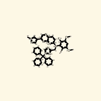 COc1cc(OC)c(F)c(N(Cc2ncn(C(c3ccccc3)(c3ccccc3)c3ccccc3)n2)c2ccc3ncc(-c4cnn(C)c4)nc3n2)c1F